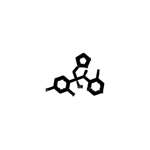 C[C@@H](c1ncncc1F)[C@](O)(Cn1ccnn1)c1ccc(F)cc1F